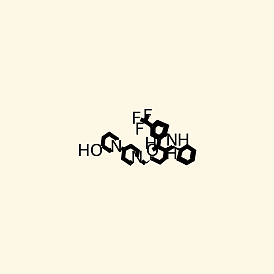 OC1CCCN(C2CCN(C[C@H]3CC[C@@H]4[C@H](O3)c3cc(C(F)(F)F)ccc3N[C@H]4C3C=CC=CC3)CC2)C1